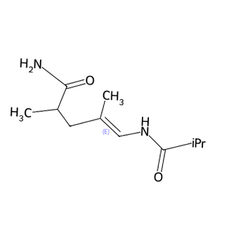 C/C(=C\NC(=O)C(C)C)CC(C)C(N)=O